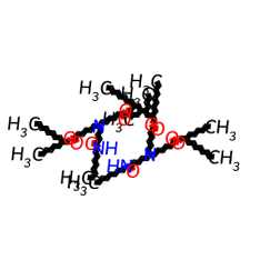 CCCCCCCCNC(=O)CCCCN(CCCCCC(=O)OCC(CCCCCC)CCCCCCCC)CCCCCC(=O)OCC(CCCCCCCC)CC(CCCC)C(CCC)CC(CCCCCCCC)COC(=O)CCCCCN(CCCCCC(=O)OCC(CCCCCC)CCCCCCCC)CCCC(=O)NCCCCCCCC